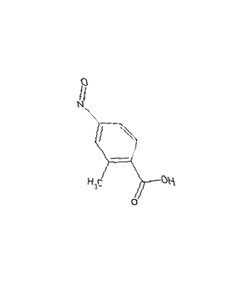 Cc1cc(N=O)ccc1C(=O)O